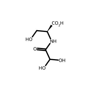 O=C(N[C@@H](CO)C(=O)O)C(O)O